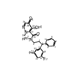 CCCN(CCC(c1ccccc1)c1cc(F)cc(F)c1)C(=O)c1c(O)c(=O)cnn1C